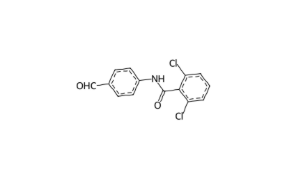 O=Cc1ccc(NC(=O)c2c(Cl)cccc2Cl)cc1